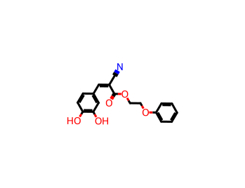 N#CC(=Cc1ccc(O)c(O)c1)C(=O)OCCOc1ccccc1